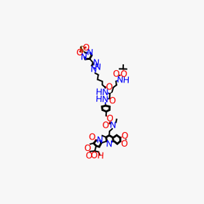 CCN(CCc1c2c(nc3cc4c(cc13)OCO4)-c1cc3c(c(=O)n1C2)COC(=O)[C@]3(O)CC)C(=O)OCc1ccc(NC(=O)[C@H](CCCCNC(=O)OC(C)(C)C)NC(=O)CCCCCn2cc(-c3cnc(S(C)(=O)=O)nc3)nn2)cc1